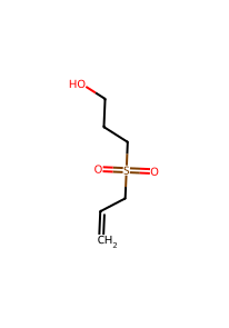 C=CCS(=O)(=O)CCCO